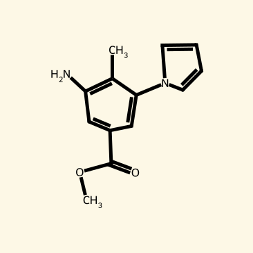 COC(=O)c1cc(N)c(C)c(-n2cccc2)c1